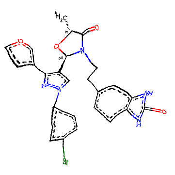 C[C@H]1O[C@H](c2cn(-c3ccc(Br)cc3)nc2-c2ccoc2)N(CCc2ccc3[nH]c(=O)[nH]c3c2)C1=O